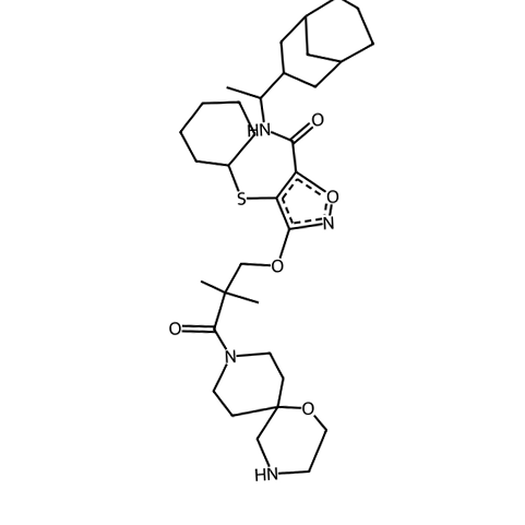 CC(NC(=O)c1onc(OCC(C)(C)C(=O)N2CCC3(CC2)CNCCO3)c1SC1CCCCC1)C1CC2CCCC(C2)C1